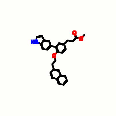 COC(=O)CCc1ccc(OCCc2ccc3ccccc3c2)c(-c2ccc3[nH]ccc3c2)c1